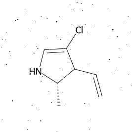 C=CC1C(Cl)=CN[C@H]1C